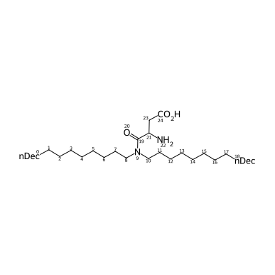 CCCCCCCCCCCCCCCCCCN(CCCCCCCCCCCCCCCCCC)C(=O)C(N)CC(=O)O